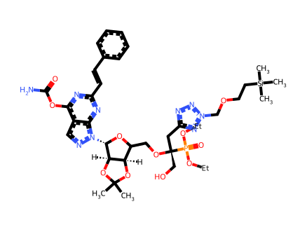 CCOP(=O)(OCC)[C@@](CO)(Cc1nnn(COCC[Si](C)(C)C)n1)OCC1O[C@@H](n2ncc3c(OC(N)=O)nc(/C=C/c4ccccc4)nc32)[C@@H]2OC(C)(C)O[C@H]12